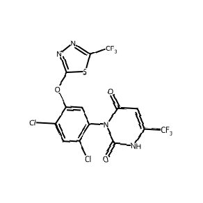 O=c1cc(C(F)(F)F)[nH]c(=O)n1-c1cc(Oc2nnc(C(F)(F)F)s2)c(Cl)cc1Cl